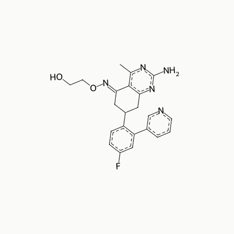 Cc1nc(N)nc2c1C(=NOCCO)CC(c1ccc(F)cc1-c1cccnc1)C2